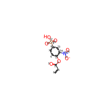 C=CC(=O)Oc1ccc(S(=O)(=O)O)cc1[N+](=O)[O-]